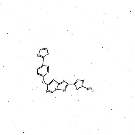 Nc1ccc(-c2nc3cc(Oc4ccc(-c5nccs5)cc4)ncn3n2)o1